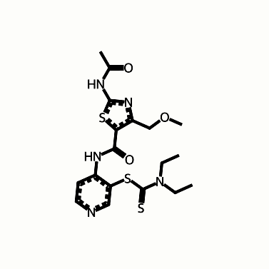 CCN(CC)C(=S)Sc1cnccc1NC(=O)c1sc(NC(C)=O)nc1COC